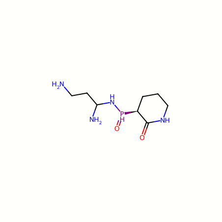 NCCC(N)N[PH](=O)[C@H]1CCCNC1=O